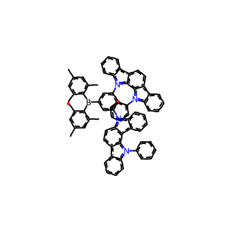 Cc1cc(C)c(B(c2cc(-n3c4ccccc4c4c3ccc3c5ccccc5n(-c5ccccc5)c34)cc(-n3c4ccccc4c4ccc5c6ccccc6n(-c6ccccc6)c5c43)c2)c2c(C)cc(C)cc2C)c(C)c1